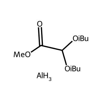 COC(=O)C(OCC(C)C)OCC(C)C.[AlH3]